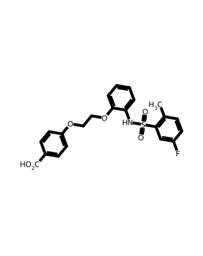 Cc1ccc(F)cc1S(=O)(=O)Nc1ccccc1OCCOc1ccc(C(=O)O)cc1